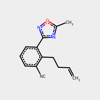 [C-]#[N+]c1cccc(-c2noc(C)n2)c1CCC=C